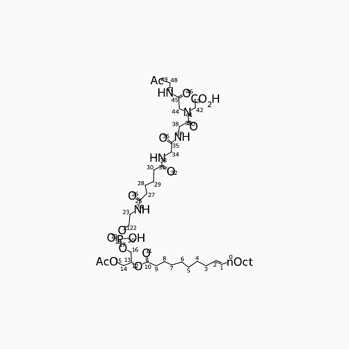 CCCCCCCC/C=C/CCCCCCCC(=O)OC(COC(C)=O)COP(=O)(O)OCCNC(=O)CCCCC(=O)NCC(=O)NCC(=O)N(CC(=O)O)CC(=O)NCC(C)=O